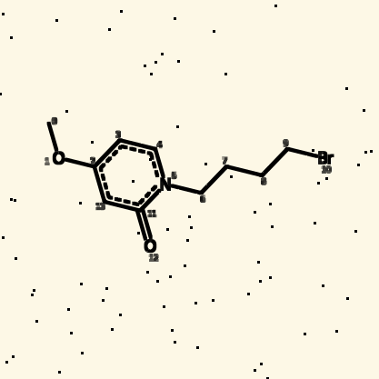 COc1ccn(CCCCBr)c(=O)c1